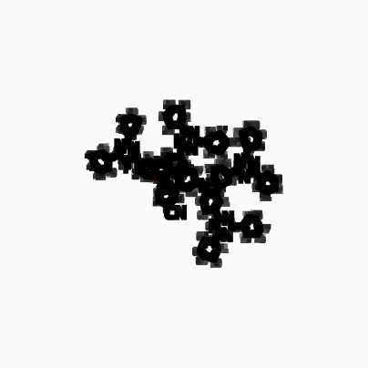 N#Cc1ccc(-n2c3ccc(-c4nc(-c5ccccc5)nc(-c5ccccc5)n4)cc3c3cc(-c4nc(-c5ccccc5)nc(-c5ccccc5)n4)ccc32)c(-c2cc(-n3c4ccc(-c5nc(-c6ccccc6)nc(-c6ccccc6)n5)cc4c4cc(-c5nc(-c6ccccc6)nc(-c6ccccc6)n5)ccc43)ccc2-c2ccc(C(F)(F)F)cc2C#N)c1